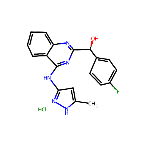 Cc1cc(Nc2nc([C@@H](O)c3ccc(F)cc3)nc3ccccc23)n[nH]1.Cl